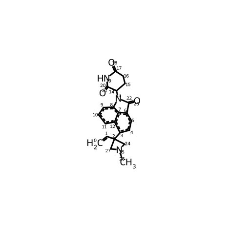 C=CC1(c2ccc3c4c(cccc24)N(C2CCC(=O)NC2=O)C3=O)CN(C)C1